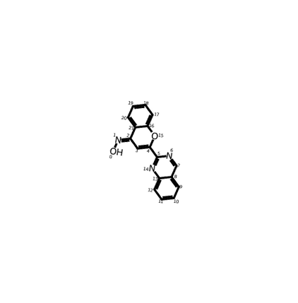 O/N=c1\cc(-c2ncc3ccccc3n2)oc2ccccc12